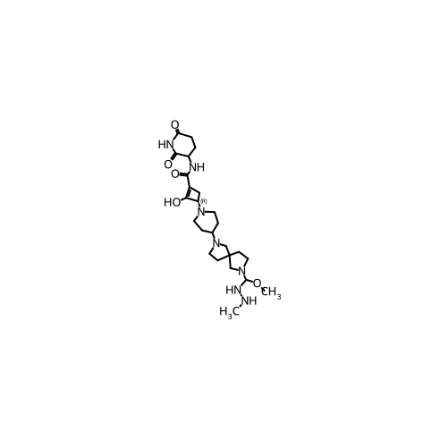 CNNC(OC)N1CCC2(CCN(C3CCN([C@@H]4CC(C(=O)NC5CCC(=O)NC5=O)=C4O)CC3)C2)C1